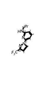 CC(C)Nc1cccc(-n2ccc(C(F)(F)F)n2)n1